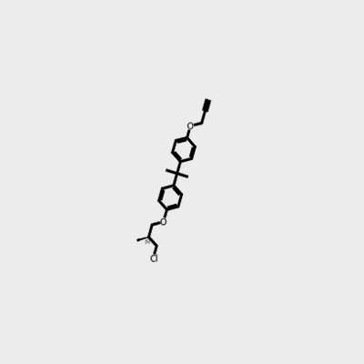 C#CCOc1ccc(C(C)(C)c2ccc(OC[C@H](C)CCl)cc2)cc1